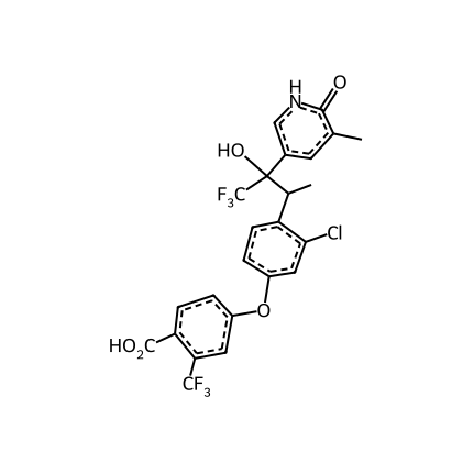 Cc1cc(C(O)(C(C)c2ccc(Oc3ccc(C(=O)O)c(C(F)(F)F)c3)cc2Cl)C(F)(F)F)c[nH]c1=O